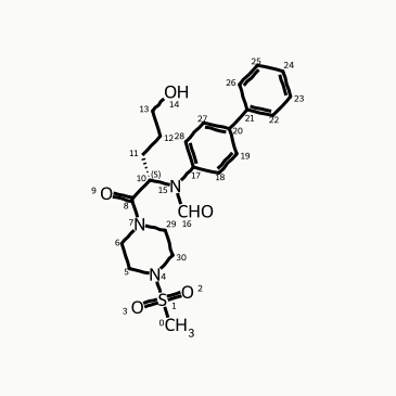 CS(=O)(=O)N1CCN(C(=O)[C@H](CCCO)N(C=O)c2ccc(-c3ccccc3)cc2)CC1